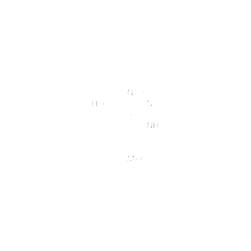 COCCNc1cc(C(=O)O)ncn1